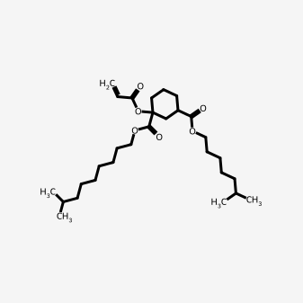 C=CC(=O)OC1(C(=O)OCCCCCCCC(C)C)CCCC(C(=O)OCCCCCC(C)C)C1